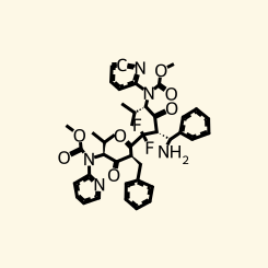 COC(=O)N(c1ccccn1)[C@H](C(=O)[C@H](Cc1ccccc1)C(=O)C(F)(F)[C@H](C(=O)[C@H](C(C)C)N(C(=O)OC)c1ccccn1)C(N)c1ccccc1)C(C)C